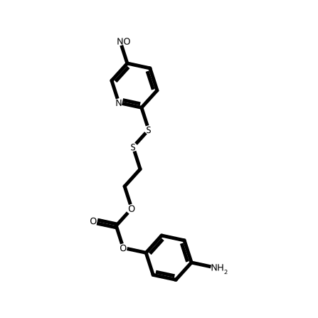 Nc1ccc(OC(=O)OCCSSc2ccc(N=O)cn2)cc1